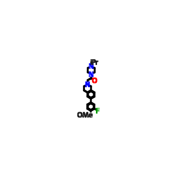 COc1ccc(-c2ccc3c(c2)CCN(CC(=O)N2CCN(C(C)C)CC2)C3)cc1F